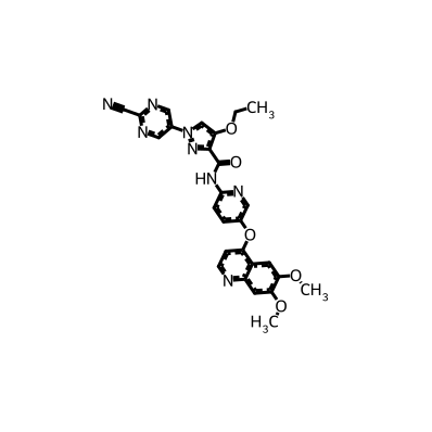 CCOc1cn(-c2cnc(C#N)nc2)nc1C(=O)Nc1ccc(Oc2ccnc3cc(OC)c(OC)cc23)cn1